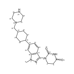 Cn1nc(N2CCC(=O)NC2=O)c2ccc(C3CCC(CN4CCNCC4)CC3)cc21